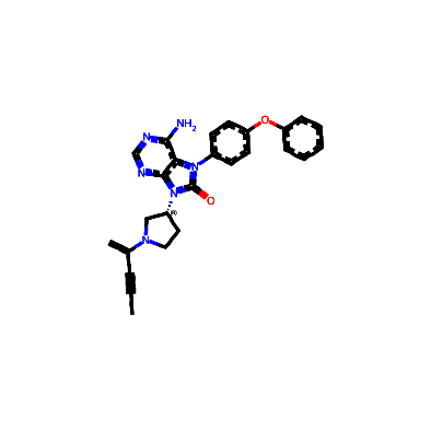 C=C(C#CC)N1CC[C@@H](n2c(=O)n(-c3ccc(Oc4ccccc4)cc3)c3c(N)ncnc32)C1